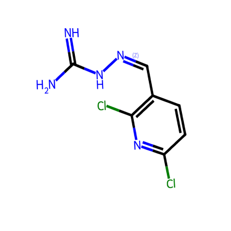 N=C(N)N/N=C\c1ccc(Cl)nc1Cl